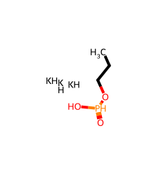 CCCO[PH](=O)O.[KH].[KH].[KH]